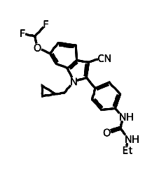 CCNC(=O)Nc1ccc(-c2c(C#N)c3ccc(OC(F)F)cc3n2CC2CC2)cc1